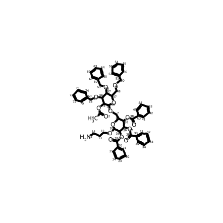 CC(=O)OC1C(OCC2OC(OCCCN)C(OC(=O)c3ccccc3)C(OC(=O)c3ccccc3)C2OC(=O)c2ccccc2)OC(COCc2ccccc2)C(OCc2ccccc2)C1OCc1ccccc1